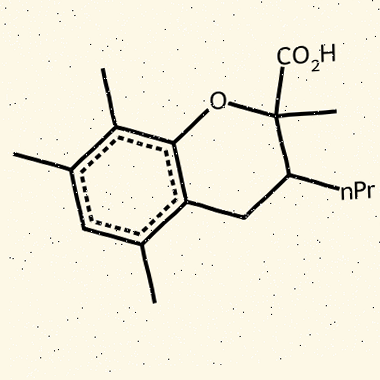 CCCC1Cc2c(C)cc(C)c(C)c2OC1(C)C(=O)O